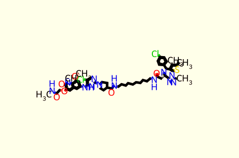 CNC(=O)COc1cc2cc(Nc3nc(N4CCC(C(=O)NCCCCCCCCCCNC(=O)C[C@@H]5N=C(c6ccc(Cl)cc6)c6c(sc(C)c6C)-n6c(C)nnc65)CC4)ncc3Cl)cc(OC)c2n(C)c1=O